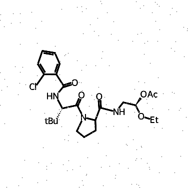 CCO[C@@H](CNC(=O)C1CCCN1C(=O)[C@@H](NC(=O)c1ccccc1Cl)C(C)(C)C)OC(C)=O